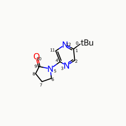 CC(C)(C)c1cnc(N2CCCC2=O)cn1